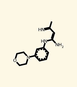 CC(=N)/C=C(/N)Nc1cccc(N2CCOCC2)c1